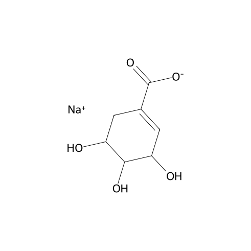 O=C([O-])C1=CC(O)C(O)C(O)C1.[Na+]